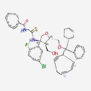 O=C(NC(=S)N[C@@]1(c2cc(Br)ccc2F)CO[C@H](COC(C2=CC=CCC2)(c2ccccc2)C2C#CC/C=C\C=C/2)[C@H]1CO)c1ccccc1